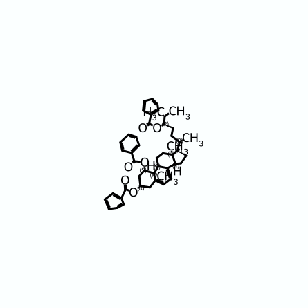 CC(C)[C@@H](CC[C@@H](C)[C@H]1CC[C@H]2C3=CC=C4C[C@@H](OC(=O)c5ccccc5)C[C@H](OC(=O)c5ccccc5)[C@]4(C)[C@H]3CC[C@]12C)OC(=O)c1ccccc1